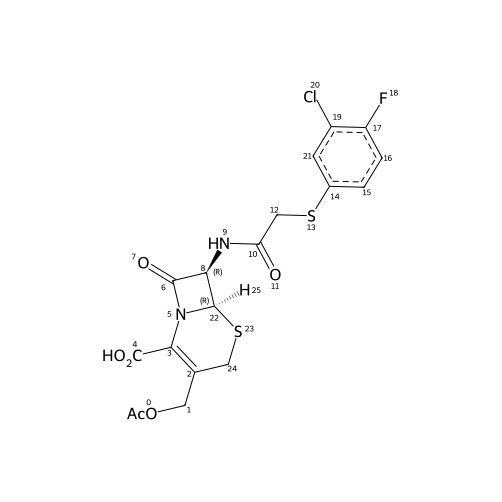 CC(=O)OCC1=C(C(=O)O)N2C(=O)[C@@H](NC(=O)CSc3ccc(F)c(Cl)c3)[C@H]2SC1